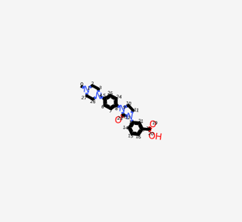 CN1CCN(c2ccc(N3CCN(c4cccc(C(=O)O)c4)C3=O)cc2)CC1